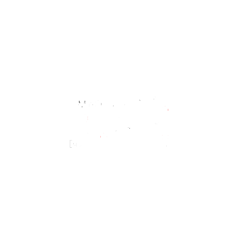 CCC(C)C(=O)OC1C2CC(C3COC(=O)C32)C1OC